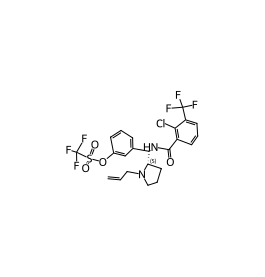 C=CCN1CCC[C@H]1C(NC(=O)c1cccc(C(F)(F)F)c1Cl)c1cccc(OS(=O)(=O)C(F)(F)F)c1